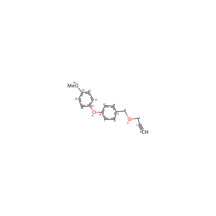 C#CCOCc1ccc(Oc2ccc(OC)cc2)cc1